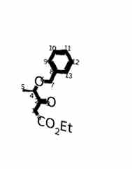 CCOC(=O)CC(=O)[C@@H](C)OCc1ccccc1